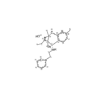 CCNC1(O)[C@@H](NCCc2ccccc2)c2ccc(C)cc2OC1(C)C.Cl